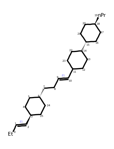 CC/C=C/[C@H]1CC[C@H](CC/C=C/C2CCC([C@H]3CC[C@H](CCC)CC3)CC2)CC1